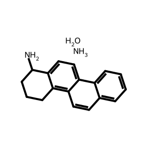 N.NC1CCCc2c1ccc1c2ccc2ccccc21.O